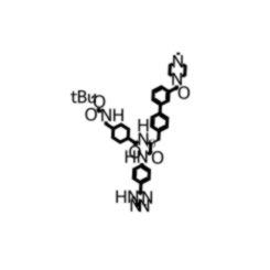 CN1CCN(C(=O)c2cccc(-c3ccc(C[C@H](NC(=O)C4CCC(CNC(=O)OC(C)(C)C)CC4)C(=O)Nc4ccc(-c5nnn[nH]5)cc4)cc3)c2)CC1